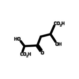 O=C(O)C(O)CC(=O)C(O)C(=O)O